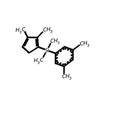 CC1=CCC([Si](C)(C)c2cc(C)cc(C)c2)=C1C